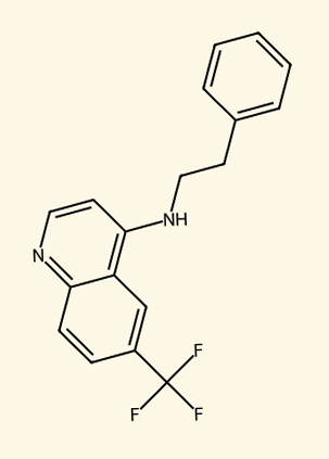 FC(F)(F)c1ccc2nccc(NCCc3ccccc3)c2c1